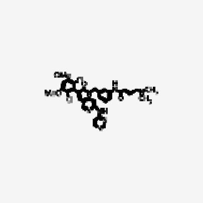 COc1cc(OC)c(Cl)c(-c2cc3cnc(Nc4ccncn4)cc3n(Cc3cccc(NC(=O)/C=C/CN(C)C)c3)c2=O)c1Cl